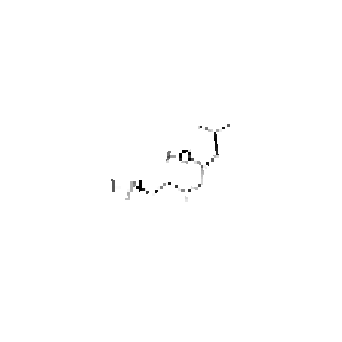 CC(C)CC(O)C[C@H](C)CCN